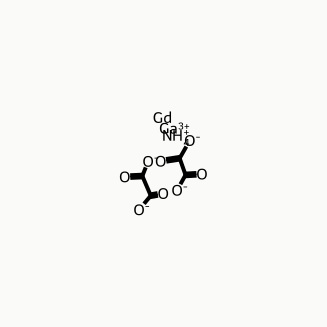 O=C([O-])C(=O)[O-].O=C([O-])C(=O)[O-].[Ga+3].[Gd].[NH4+]